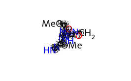 C=CC(=O)Nc1cccc(-n2c(=O)c(-c3cccc(OC)c3)nc3cnc(Nc4ccc(N5CCNCC5)cc4OC)nc32)c1